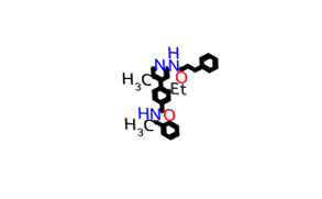 CCc1cc(C(=O)NC(C)c2ccccc2)ccc1-c1cc(NC(=O)CCc2ccccc2)ncc1C